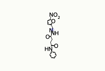 O=C(CCC(=O)Nc1ccccc1)N/N=C/c1ccc([N+](=O)[O-])o1